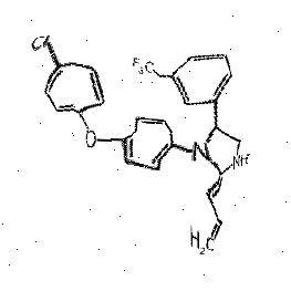 C=C/C=C1\NCC(c2cccc(C(F)(F)F)c2)N1c1ccc(Oc2ccc(Cl)cc2)cc1